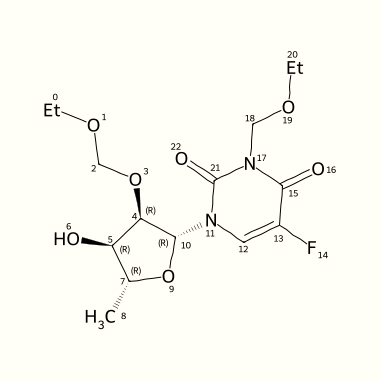 CCOCO[C@@H]1[C@H](O)[C@@H](C)O[C@H]1n1cc(F)c(=O)n(COCC)c1=O